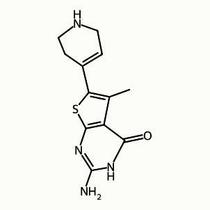 Cc1c(C2=CCNCC2)sc2nc(N)[nH]c(=O)c12